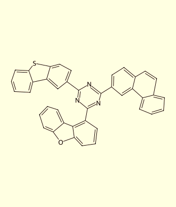 c1ccc2c(c1)ccc1ccc(-c3nc(-c4ccc5sc6ccccc6c5c4)nc(-c4cccc5oc6ccccc6c45)n3)cc12